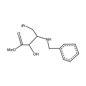 COC(=O)C(O)C(CC(C)C)NCc1ccccc1